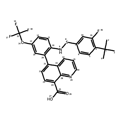 CC(C)(C)c1ccc(SNc2ccc(OC(F)(F)F)cc2-c2ccc(C(=O)O)c3ncccc23)cc1F